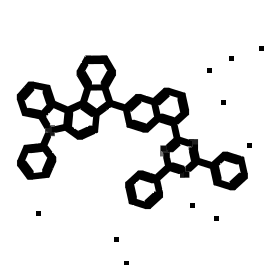 c1ccc(-c2nc(-c3ccccc3)nc(-c3cccc4cc(C5c6ccccc6-c6c5ccc5c6c6ccccc6n5-c5ccccc5)ccc34)n2)cc1